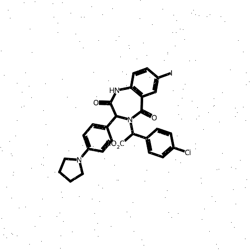 O=C(O)C(c1ccc(Cl)cc1)N1C(=O)c2cc(I)ccc2NC(=O)C1c1ccc(N2CCCC2)cc1